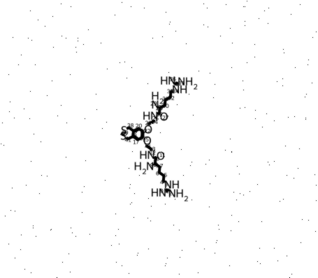 N=C(N)NCCCC[C@@H](N)C(=O)NCCOc1cc2c(cc1OCCNC(=O)[C@H](N)CCCCNC(=N)N)CSSC2